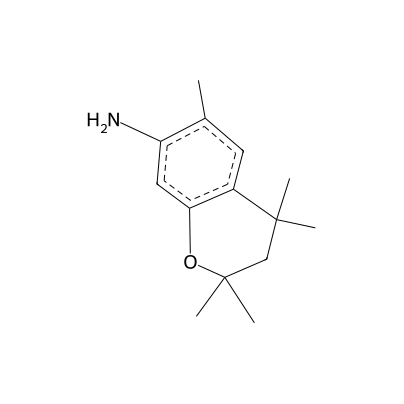 Cc1cc2c(cc1N)OC(C)(C)CC2(C)C